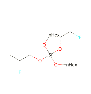 CCCCCCO[Si](OCCCCCC)(OCC(C)F)OCC(C)F